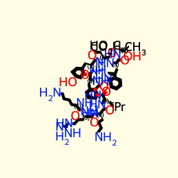 CC(C)C[C@H](NC(=O)[C@H](CCCCN)NC(=O)[C@H](CCCNC(=N)N)NC(=O)[C@@H](N)CCCCN)C(=O)NCC(=O)N[C@@H](Cc1ccccc1)C(=O)N[C@@H](Cc1ccc(O)cc1)C(=O)N[C@@H](CCC(=O)O)C(=O)N[C@@H](Cc1c[nH]c2ccccc12)C(=O)N[C@H](C(=O)O)[C@@H](C)O